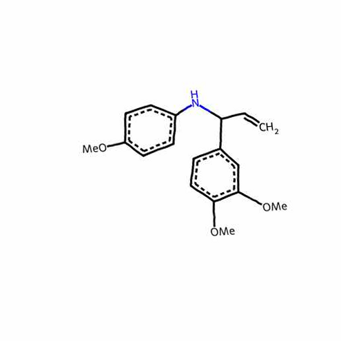 C=CC(Nc1ccc(OC)cc1)c1ccc(OC)c(OC)c1